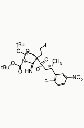 C[C@@H](CS(=O)(=O)[C@@](CF)(CCI)C(=N)N(C(=O)OC(C)(C)C)C(=O)OC(C)(C)C)c1cc([N+](=O)[O-])ccc1F